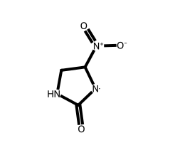 O=C1[N]C([N+](=O)[O-])CN1